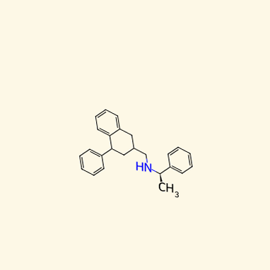 C[C@@H](NCC1Cc2ccccc2C(c2ccccc2)C1)c1ccccc1